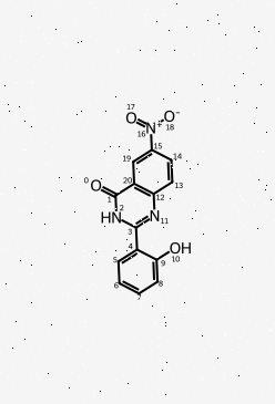 O=c1[nH]c(-c2ccccc2O)nc2ccc([N+](=O)[O-])cc12